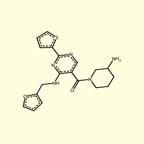 NC1CCCN(C(=O)c2cnc(-c3cccs3)nc2NCc2ccco2)C1